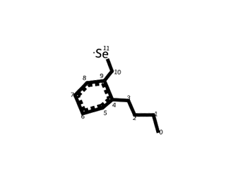 CCCCc1ccccc1C[Se]